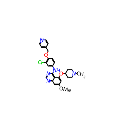 COc1cc(OC2CCN(C)CC2)c2c(Nc3ccc(OCc4ccncc4)c(Cl)c3)ncnc2c1